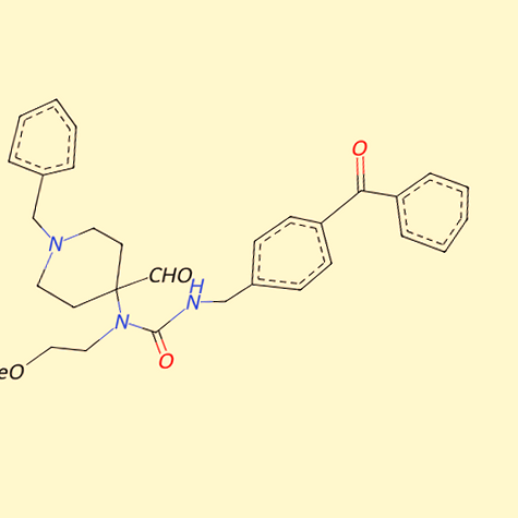 COCCN(C(=O)NCc1ccc(C(=O)c2ccccc2)cc1)C1(C=O)CCN(Cc2ccccc2)CC1